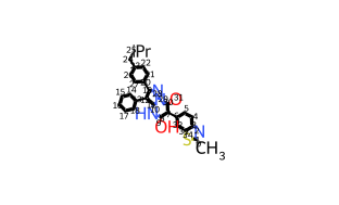 Cc1nc2ccc(-c3c(O)[nH]c4c(-c5ccccc5)c(-c5ccc(CC(C)C)cc5)nn4c3=O)cc2s1